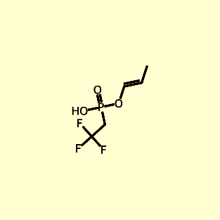 CC=COP(=O)(O)CC(F)(F)F